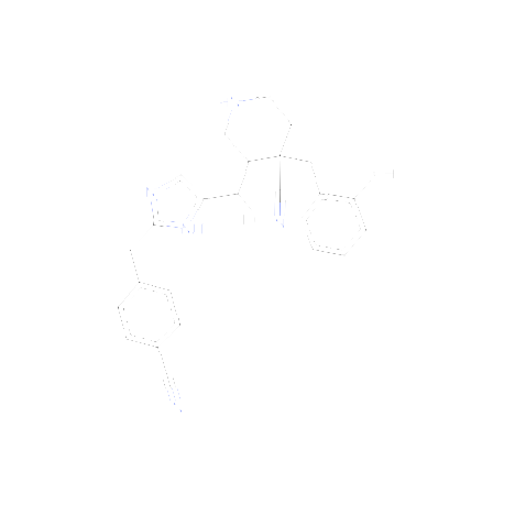 Cc1ccccc1CC1(C#N)CCNCC1C(C)c1cnc(Cc2ccc(C#N)cc2)[nH]1